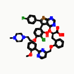 COc1ccccc1-c1nccc(COc2ccccc2C[C@@H](Oc2ncnc3sc(-c4ccc(F)cc4)c(-c4ccc(OCCN5CCN(C)CC5)c(Cl)c4O)c23)C(=O)O)n1